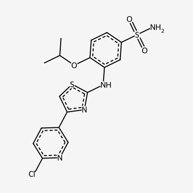 CC(C)Oc1ccc(S(N)(=O)=O)cc1Nc1nc(-c2ccc(Cl)nc2)cs1